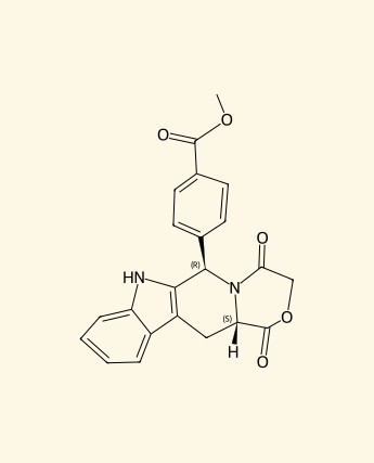 COC(=O)c1ccc([C@@H]2c3[nH]c4ccccc4c3C[C@H]3C(=O)OCC(=O)N23)cc1